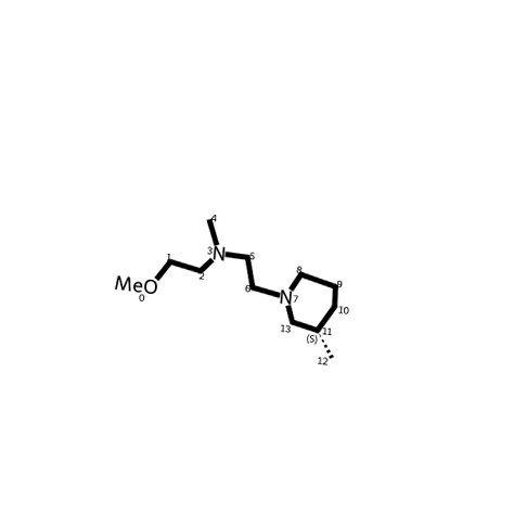 COCCN(C)CCN1CCC[C@H](C)C1